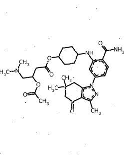 CC(=O)OC(CC(=O)OC1CCC(Nc2cc(-n3nc(C)c4c3CC(C)(C)CC4=O)ccc2C(N)=O)CC1)CN(C)C